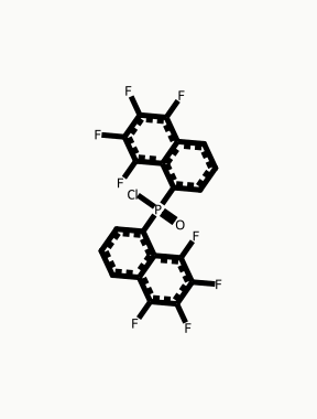 O=P(Cl)(c1cccc2c(F)c(F)c(F)c(F)c12)c1cccc2c(F)c(F)c(F)c(F)c12